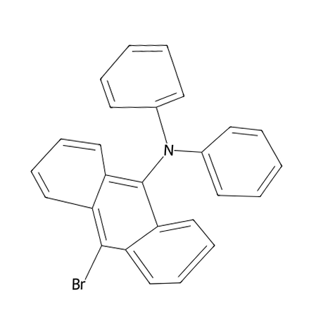 Brc1c2ccccc2c(N(c2ccccc2)c2ccccc2)c2ccccc12